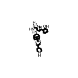 N=C(N)c1nnc(-c2ccccc2O)cc1NC1CC2CC3C(C1)CC3(c1ncc(C3CCNCC3)cn1)C2